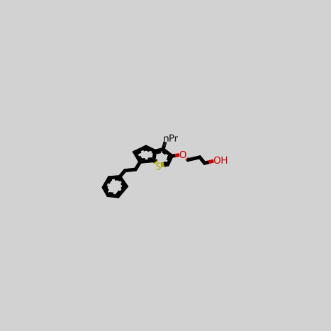 CCCc1c(OCCCO)csc2c(CCc3ccccc3)ccc1-2